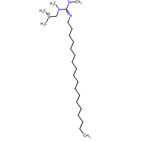 CCCCCCCCCCCCCCCCCCN=C(N(C)C)N(C)C[SiH](C)C